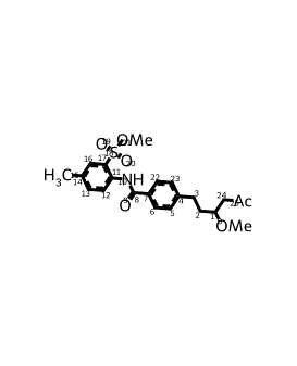 COC(CCc1ccc(C(=O)Nc2ccc(C)cc2S(=O)(=O)OC)cc1)CC(C)=O